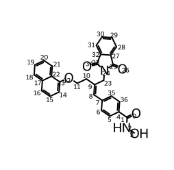 O=C(NO)c1ccc(/C=C(/CCOc2cccc3ccccc23)CN2C(=O)c3ccccc3C2=O)cc1